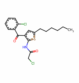 CCCCCCc1cc(C(=O)c2ccccc2Cl)c(NC(=O)CCl)s1